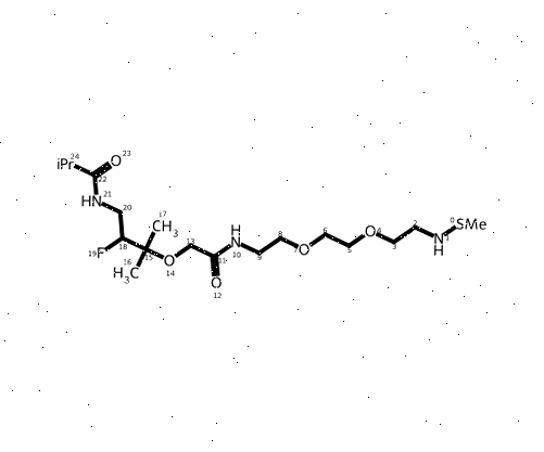 CSNCCOCCOCCNC(=O)COC(C)(C)C(F)CNC(=O)C(C)C